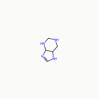 [CH]1NCC2NC=NC2N1